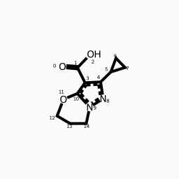 O=C(O)c1c(C2CC2)nn2c1OCCC2